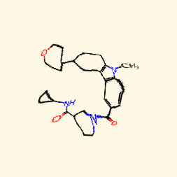 Cn1c2c(c3cc(C(=O)N4CC[C@@H](C(=O)NC5CC5)C4)ccc31)CC(C1CCOCC1)CC2